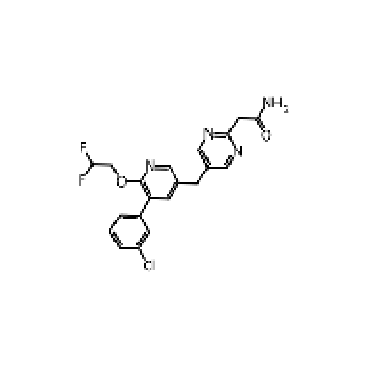 NC(=O)Cc1ncc(Cc2cnc(OCC(F)F)c(-c3cccc(Cl)c3)c2)cn1